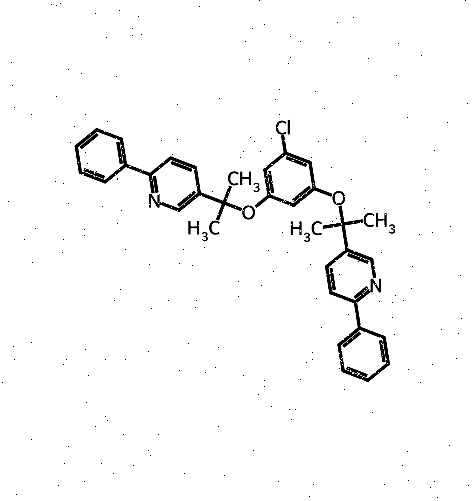 CC(C)(Oc1cc(Cl)cc(OC(C)(C)c2ccc(-c3ccccc3)nc2)c1)c1ccc(-c2ccccc2)nc1